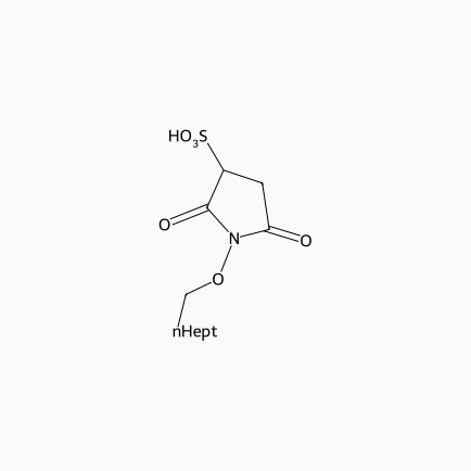 CCCCCCCCON1C(=O)CC(S(=O)(=O)O)C1=O